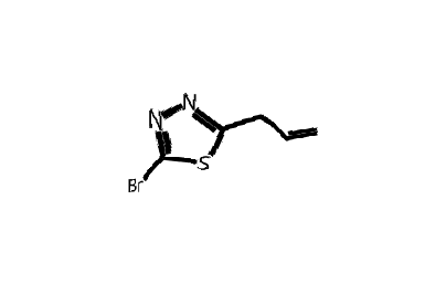 C=CCc1nnc(Br)s1